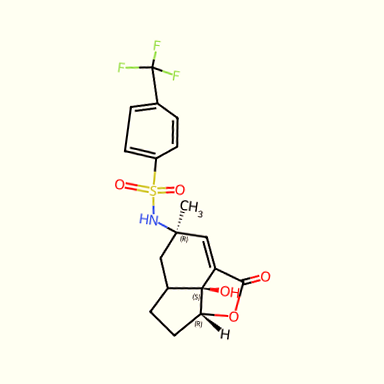 C[C@]1(NS(=O)(=O)c2ccc(C(F)(F)F)cc2)C=C2C(=O)O[C@@H]3CCC(C1)[C@]23O